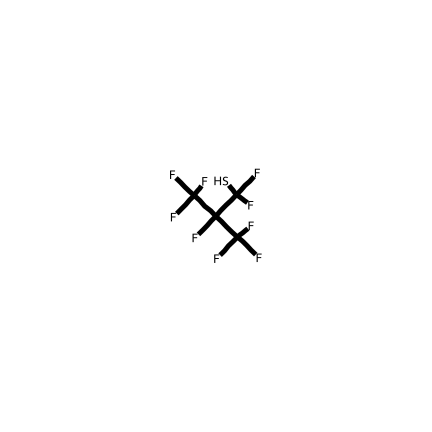 FC(F)(F)C(F)(C(F)(F)F)C(F)(F)S